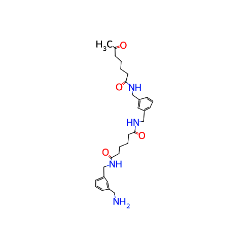 CC(=O)CCCCC(=O)NCc1cccc(CNC(=O)CCCCC(=O)NCc2cccc(CN)c2)c1